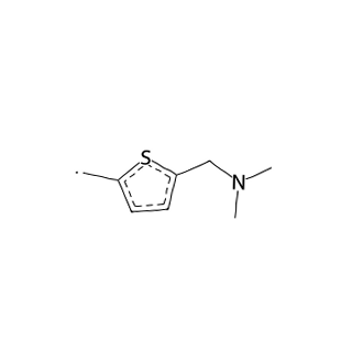 [CH2]c1ccc(CN(C)C)s1